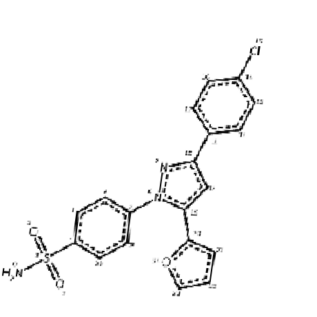 NS(=O)(=O)c1ccc(-n2nc(-c3ccc(Cl)cc3)cc2-c2ccco2)cc1